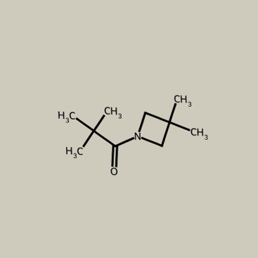 CC1(C)CN(C(=O)C(C)(C)C)C1